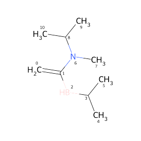 C=C(BC(C)C)N(C)C(C)C